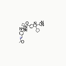 CC(=O)/C=C/c1ccc2nc(C3(NC(=O)c4ccc5c(C6CCCC6)c(-c6cnn(C)c6)n(C)c5c4)CCC3)n(C)c2c1